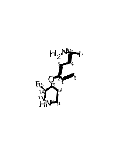 C=C/C(=C\C=C(/N)I)O[C@H]1CCNC[C@H]1F